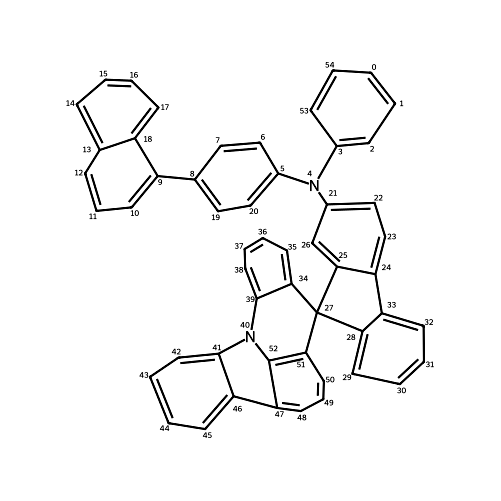 c1ccc(N(c2ccc(-c3cccc4ccccc34)cc2)c2ccc3c(c2)C2(c4ccccc4-3)c3ccccc3-n3c4ccccc4c4cccc2c43)cc1